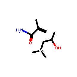 C=C(C)C(N)=O.CC(O)C[As](C)C